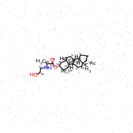 CC(=O)[C@H]1CC[C@H]2[C@@H]3CC[C@H]4C[C@H](OC(=O)C(C)NCCO)CC[C@]4(C)[C@H]3CC[C@]12C.Cl